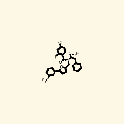 O=C(O)C(Cc1ccccc1)N(Cc1ccc(-c2cccc(C(F)(F)F)c2)o1)C(=O)c1ccc(Cl)cc1I